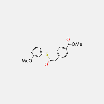 COC(=O)c1ccc(CC(=O)Sc2cccc(OC)c2)cc1